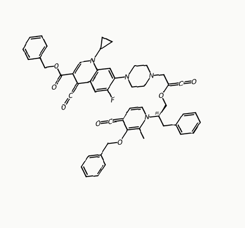 CC1=C(OCc2ccccc2)C(=C=O)C=CN1[C@@H](COC(=C=O)CN1CCN(c2cc3c(cc2F)C(=C=O)C(C(=O)OCc2ccccc2)=CN3C2CC2)CC1)Cc1ccccc1